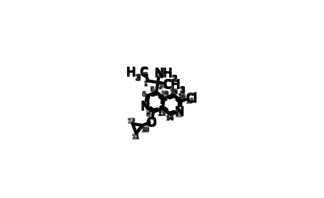 CCC(C)(N)c1cnc(OC2CC2)c2cnc(Cl)cc12